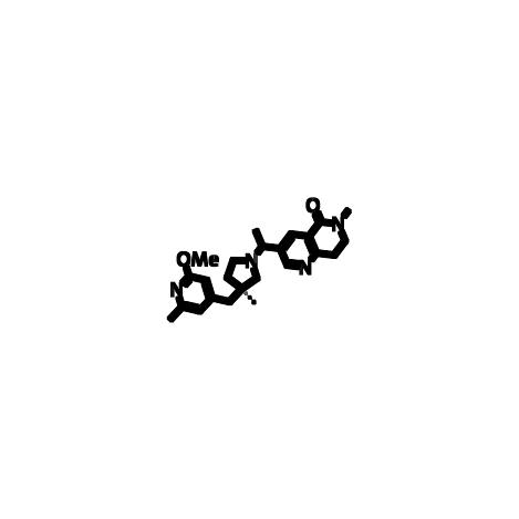 COc1cc(C[C@@]2(C)CCN(C(C)c3cnc4c(c3)C(=O)N(C)CC4)C2)cc(C)n1